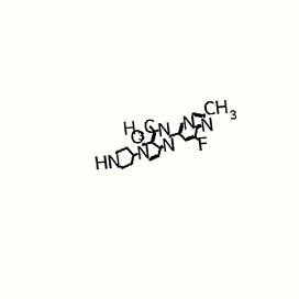 Cc1cn2cc(-c3nc(C)c4c(=O)n(C5CCNCC5)ccc4n3)cc(F)c2n1